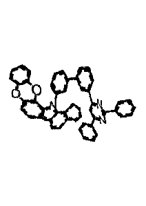 c1ccc(-c2cc(-c3cccc(-c4cccc(-n5c6c7c(ccc6c6ccc8ccccc8c65)Oc5ccccc5O7)c4)c3)nc(-c3ccccc3)n2)cc1